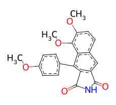 COc1ccc(-c2c3c(cc4ccc(OC)c(OC)c24)C(=O)NC3=O)cc1